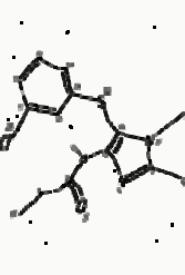 CCC(=O)Oc1nc(C)n(C)c1Sc1cccc(Cl)c1